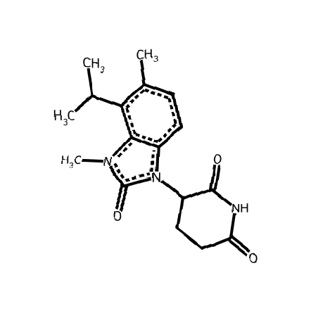 Cc1ccc2c(c1C(C)C)n(C)c(=O)n2C1CCC(=O)NC1=O